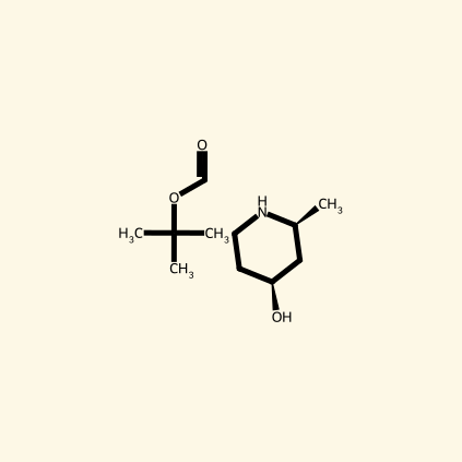 CC(C)(C)OC=O.C[C@H]1C[C@@H](O)CCN1